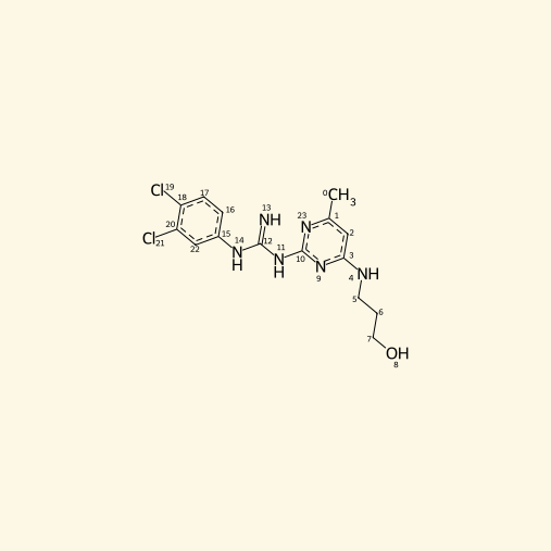 Cc1cc(NCCCO)nc(NC(=N)Nc2ccc(Cl)c(Cl)c2)n1